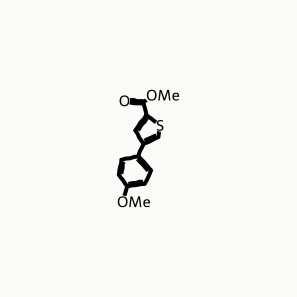 COC(=O)c1cc(-c2ccc(OC)cc2)cs1